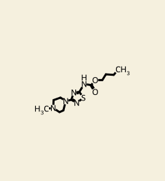 CCCCOC(=O)Nc1nc(N2CCN(C)CC2)ns1